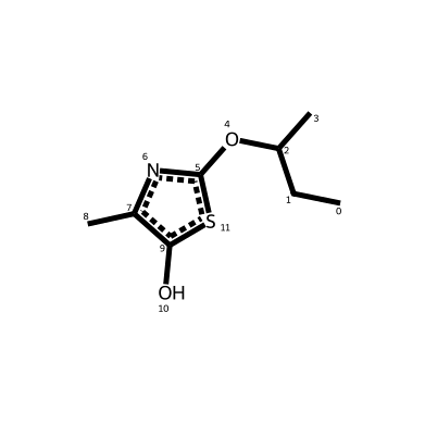 CCC(C)Oc1nc(C)c(O)s1